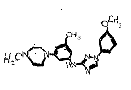 COc1cccc(-n2cnc(Nc3cc(C)cc(N4CCN(C)CC4)c3)n2)c1